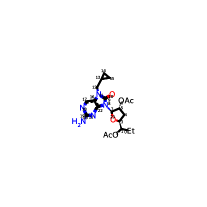 CCC(OC(C)=O)[C@@H]1C[C@@H](OC(C)=O)[C@H](n2c(=O)n(CC3CC3)c3cnc(N)nc32)O1